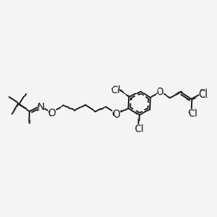 C/C(=N\OCCCCCOc1c(Cl)cc(OCC=C(Cl)Cl)cc1Cl)C(C)(C)C